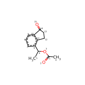 CC(=O)OC(C)c1cccc2c1CCC2=O